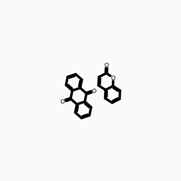 O=C1c2ccccc2C(=O)c2ccccc21.O=c1ccc2ccccc2o1